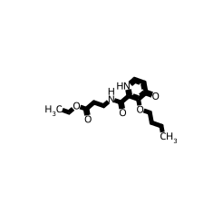 CCCCOc1c(C(=O)NCCC(=O)OCC)[nH]ccc1=O